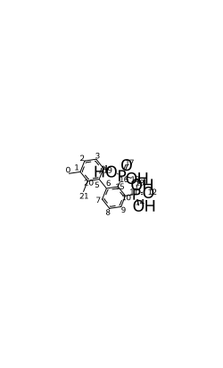 Cc1cccc(-c2cccc(P(=O)(O)O)c2P(=O)(O)O)c1C